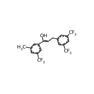 Cc1cc(/C(O)=C/Cc2cc(C(F)(F)F)cc(C(F)(F)F)c2)cc(C(F)(F)F)c1